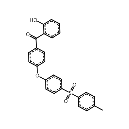 Cc1ccc(S(=O)(=O)c2ccc(Oc3ccc(C(=O)c4ccccc4O)cc3)cc2)cc1